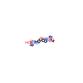 CC1CC[C@@H](c2ncc(-c3ccc4c(c3)COc3cc5c(ccc6nc([C@@H]7CCC(C)N7C(=O)OC(C)(C)C)[nH]c65)cc3-4)[nH]2)N1C(=O)O